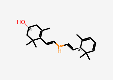 CC1=CC=CC(C)(C)[C@H]1C=CPC=CC1=C(C)C[C@@H](O)CC1(C)C